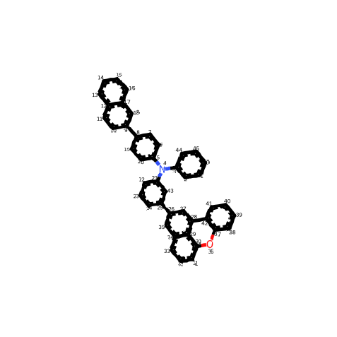 c1ccc(N(c2ccc(-c3ccc4ccccc4c3)cc2)c2cccc(-c3cc4c5c(cccc5c3)Oc3ccccc3-4)c2)cc1